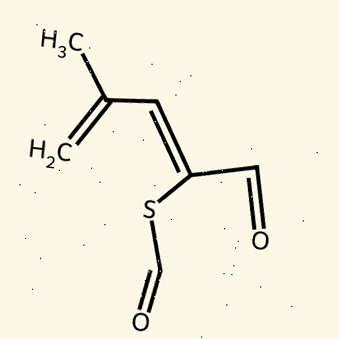 C=C(C)/C=C(/C=O)SC=O